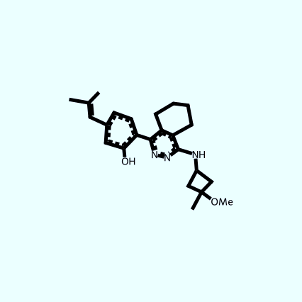 COC1(C)CC(Nc2nnc(-c3ccc(C=C(C)C)cc3O)c3c2CCCC3)C1